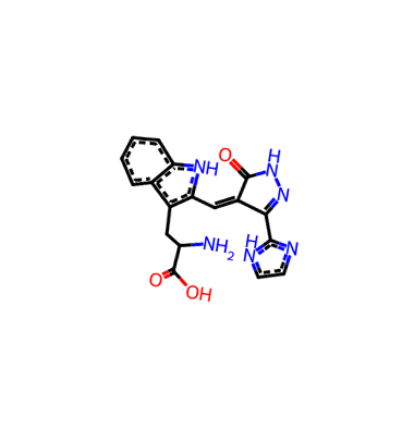 NC(Cc1c(/C=C2\C(=O)NN=C2c2ncc[nH]2)[nH]c2ccccc12)C(=O)O